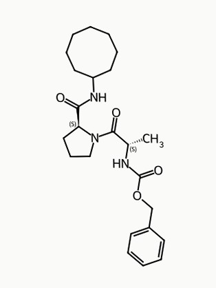 C[C@H](NC(=O)OCc1ccccc1)C(=O)N1CCC[C@H]1C(=O)NC1CCCCCCC1